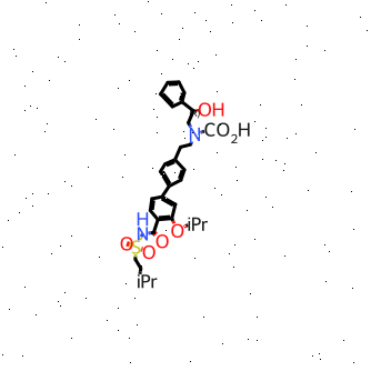 CC(C)CCS(=O)(=O)NC(=O)c1ccc(-c2ccc(CCN(C[C@H](O)c3ccccc3)C(=O)O)cc2)cc1OC(C)C